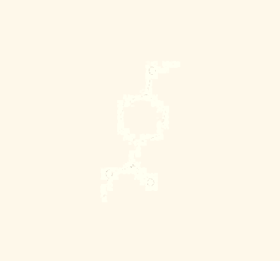 COC(=O)C1CCC(OC)CC1